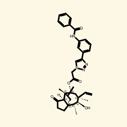 C=C[C@]1(C)C[C@@H](OC(=O)Cn2cc(-c3cccc(NC(=O)c4ccccc4)c3)nn2)[C@]2(C)C(C)CC[C@]3(CCC(=O)[C@H]32)[C@@H](C)[C@@H]1O